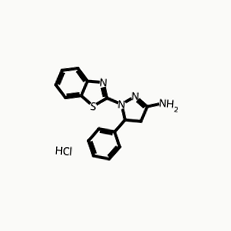 Cl.NC1=NN(c2nc3ccccc3s2)C(c2ccccc2)C1